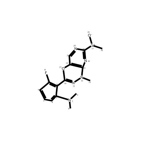 CN(C)c1cccc(F)c1C1=NN(C)c2nc([S+](C)[O-])ncc2O1